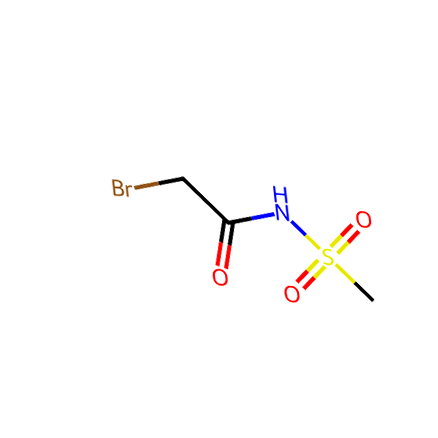 CS(=O)(=O)NC(=O)CBr